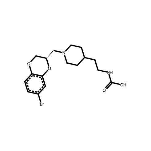 O=C(O)NCCC1CCN(C[C@H]2COc3ccc(Br)cc3O2)CC1